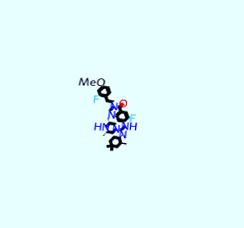 COc1ccc(CCn2cnc3cc(N/C(=N/[C@H]4CCC(C)(C)C[C@@H]4C)N4C[C@@H](C)N[C@@H](C)C4)c(F)cc3c2=O)c(F)c1